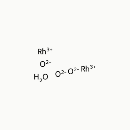 O.[O-2].[O-2].[O-2].[Rh+3].[Rh+3]